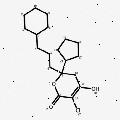 O=C1OC(CCCC2CCCCC2)(C2CCCC2)CC(O)=C1Cl